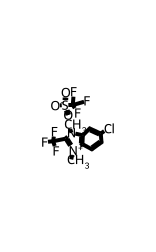 Cn1c(C(F)(F)F)[n+](C)c2ccc(Cl)cc21.O=S(=O)([O-])C(F)(F)F